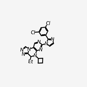 CCC1c2nncn2-c2cnc(-n3ccnc3-c3cc(Cl)cc(Cl)c3)nc2N1C1CCC1